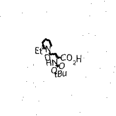 CC[C@H]1CCCCN1C(=O)CC(NC(=O)OC(C)(C)C)C(=O)O